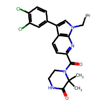 CC(C)Cn1cc(-c2ccc(Cl)c(Cl)c2)c2ccc(C(=O)N3CCNC(=O)C3(C)C)nc21